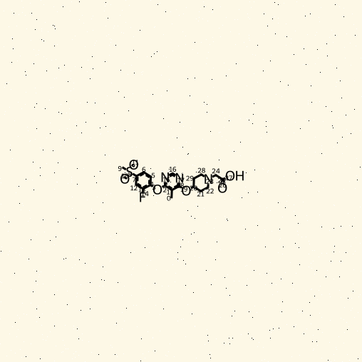 Cc1c(Oc2ccc(S(C)(=O)=O)cc2F)ncnc1OC1CCN(CC(=O)O)CC1